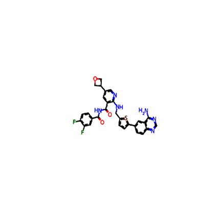 Nc1ncnc2ccc(-c3ccc(CNc4ncc(C5COC5)cc4C(=O)NC(=O)c4ccc(F)c(F)c4)s3)cc12